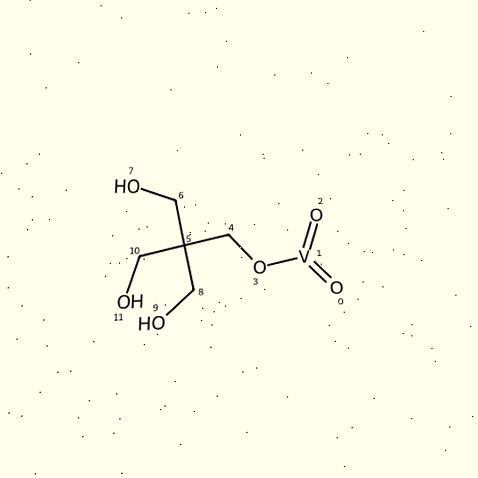 [O]=[V](=[O])[O]CC(CO)(CO)CO